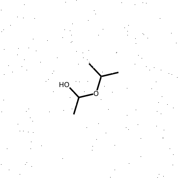 CC(C)OC(C)O